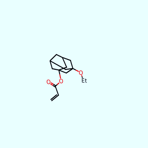 C=CC(=O)OC12CC3CC(CC(OCC)(C3)C1)C2